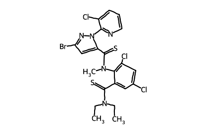 CCN(CC)C(=S)c1cc(Cl)cc(Cl)c1N(C)C(=S)c1cc(Br)nn1-c1ncccc1Cl